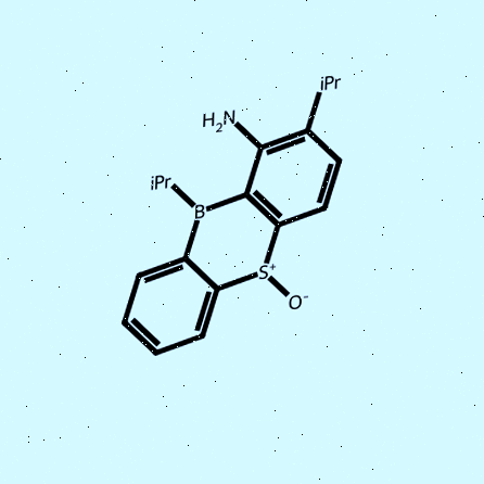 CC(C)B1c2ccccc2[S+]([O-])c2ccc(C(C)C)c(N)c21